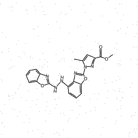 COC(=O)c1cc(C)n(-c2nc3c(NNc4nc5ccccc5o4)cccc3o2)n1